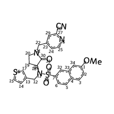 COc1ccc2ccc(S(=O)(=O)N(Cc3ccsc3)[C@H]3CCN(Cc4ccnc(C#N)c4)C3=O)cc2c1